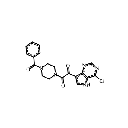 O=C(C(=O)N1CCN(C(=O)c2ccccc2)CC1)c1c[nH]c2c(Cl)ncnc12